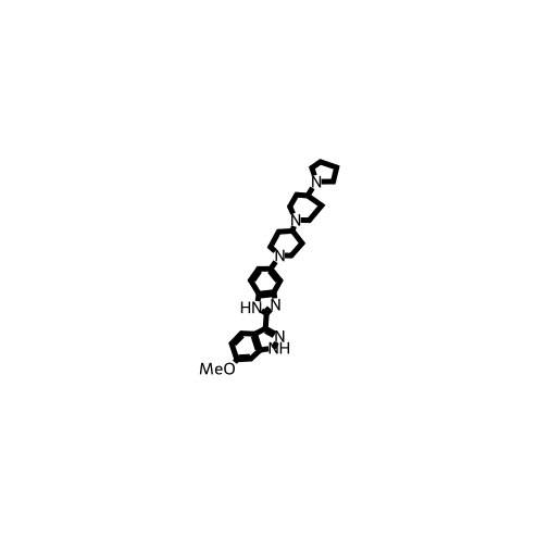 COc1ccc2c(-c3nc4cc(N5CCC(N6CCC(N7CCCC7)CC6)CC5)ccc4[nH]3)n[nH]c2c1